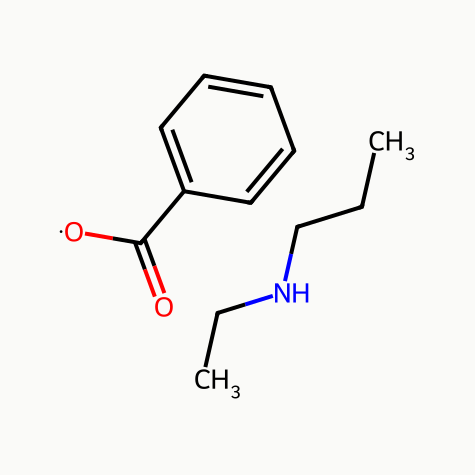 CCCNCC.[O]C(=O)c1ccccc1